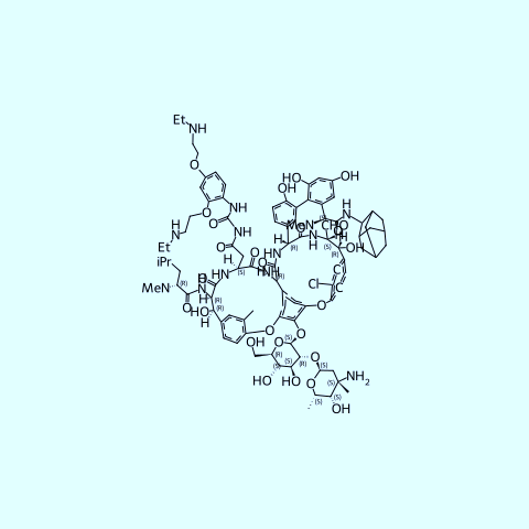 CCNCCOc1ccc(NC(=O)NC(=O)C[C@@H]2NC(=O)[C@H](NC(=O)[C@@H](CC(C)C)NC)[C@H](O)c3ccc(c(C)c3)Oc3cc4cc(c3O[C@@H]3O[C@H](CO)[C@@H](O)[C@H](O)[C@H]3O[C@H]3C[C@](C)(N)[C@H](O)[C@H](C)O3)Oc3ccc(cc3Cl)[C@@H](O)[C@@H](C=O)NC(=O)[C@@H](c3ccc(O)c(-c5c(O)cc(O)cc5[C@H](NC)C(=O)NC5C6CC7CC(C6)CC5C7)c3)NC(=O)[C@@H]4NC2=O)c(OCCNCC)c1